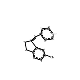 Clc1ccc2c(c1)/C(=C\c1ccncc1)CC2